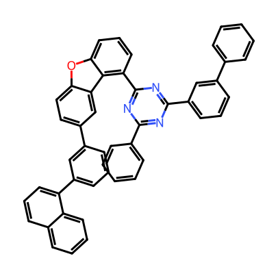 c1ccc(-c2cccc(-c3nc(-c4ccccc4)nc(-c4cccc5oc6ccc(-c7cccc(-c8cccc9ccccc89)c7)cc6c45)n3)c2)cc1